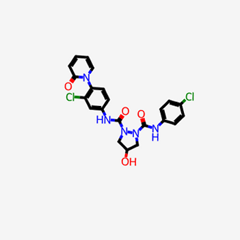 O=C(Nc1ccc(Cl)cc1)N1CC(O)CN1C(=O)Nc1ccc(-n2ccccc2=O)c(Cl)c1